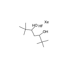 CC(C)(C)C(O)CC(O)C(C)(C)C.F.[Xe]